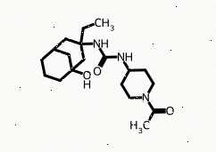 CCC1(NC(=O)NC2CCN(C(C)=O)CC2)CC2CCCC(O)(C2)C1